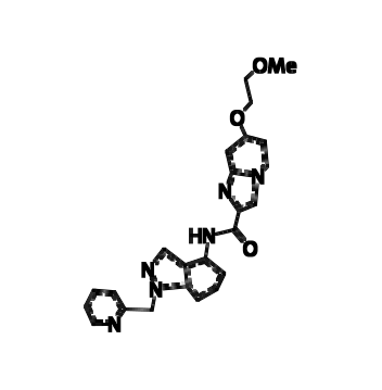 COCCOc1ccn2cc(C(=O)Nc3cccc4c3cnn4Cc3ccccn3)nc2c1